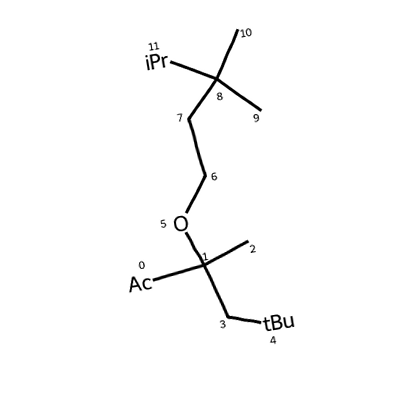 CC(=O)C(C)(CC(C)(C)C)OCCC(C)(C)C(C)C